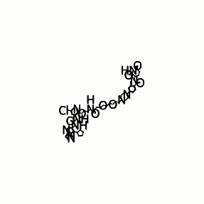 O=C(CCOCCOCCN1CCN(c2ccc3c(c2)CN(C2CCC(=O)NC2=O)C3=O)CC1)NCCOc1ncc(Cl)cc1NC(=O)Nc1cnc2ccnn2c1C1CCCC1